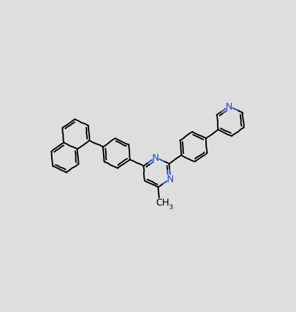 Cc1cc(-c2ccc(-c3cccc4ccccc34)cc2)nc(-c2ccc(-c3cccnc3)cc2)n1